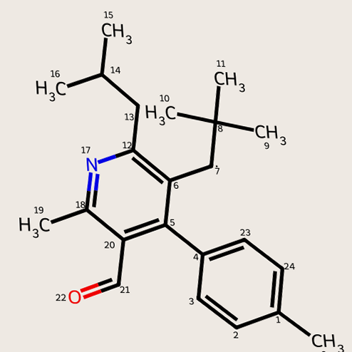 Cc1ccc(-c2c([CH]C(C)(C)C)c(CC(C)C)nc(C)c2C=O)cc1